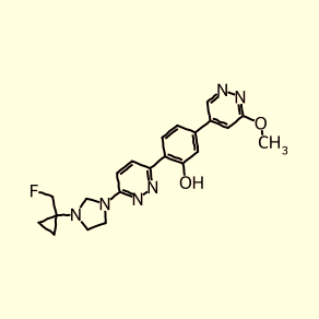 COc1cc(-c2ccc(-c3ccc(N4CCN(C5(CF)CC5)C4)nn3)c(O)c2)cnn1